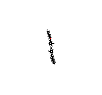 Cc1cc(/C=C/C(F)(F)C(F)(F)C(F)(F)C(F)(F)C(F)(F)C(C)(F)F)cc(C)c1/N=C/C=N/c1c(C)cc(/C=C/C(F)(F)C(F)(F)C(F)(F)C(F)(F)C(F)(F)C(F)(F)F)cc1C